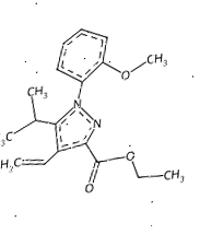 C=Cc1c(C(=O)OCC)nn(-c2ccccc2OC)c1C(C)C